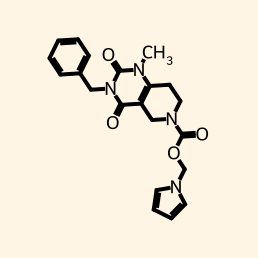 Cn1c2c(c(=O)n(Cc3ccccc3)c1=O)CN(C(=O)OCn1cccc1)CC2